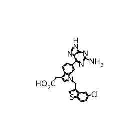 Nc1nc(-c2ccc3c(CC(=O)O)cn(Cc4csc5ccc(Cl)cc45)c3c2)c2nc[nH]c2n1